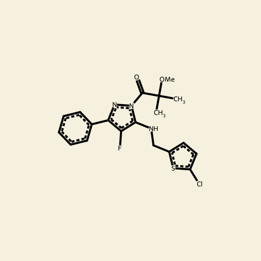 COC(C)(C)C(=O)n1nc(-c2ccccc2)c(F)c1NCc1ccc(Cl)s1